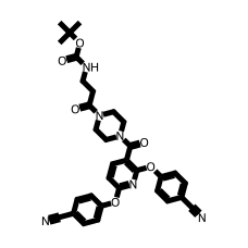 CC(C)(C)OC(=O)NCCC(=O)N1CCN(C(=O)c2ccc(Oc3ccc(C#N)cc3)nc2Oc2ccc(C#N)cc2)CC1